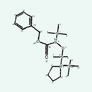 C[Si](C)(C)[SiH](O[Si](C)(C)[N+]1([Si](C)(C)C)CCCC1)C(=O)OCc1ccccc1